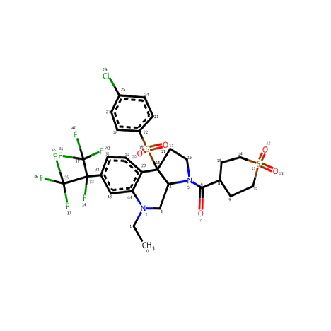 CCN1CC2N(C(=O)C3CCS(=O)(=O)CC3)CCC2(S(=O)(=O)c2ccc(Cl)cc2)c2ccc(C(F)(C(F)(F)F)C(F)(F)F)cc21